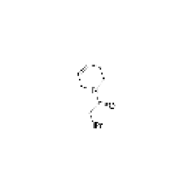 CC(C)CC(=O)N1CC=CCC1